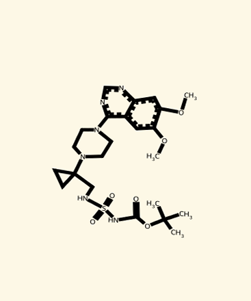 COc1cc2ncnc(N3CCN(C4(CNS(=O)(=O)NC(=O)OC(C)(C)C)CC4)CC3)c2cc1OC